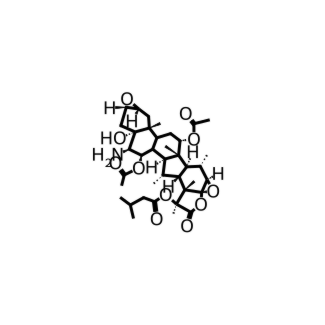 CC(=O)O[C@@H]1C2C(C[C@H](OC(C)=O)[C@]3(C)[C@H]4[C@H](C)[C@H]5O[C@]56OC(=O)[C@@](C)(OC(=O)CC(C)C)[C@]6(C)[C@@H]4[C@H](C)[C@@H]23)[C@@]2(C)C[C@H]3O[C@H]3C[C@]2(O)[C@@H]1N